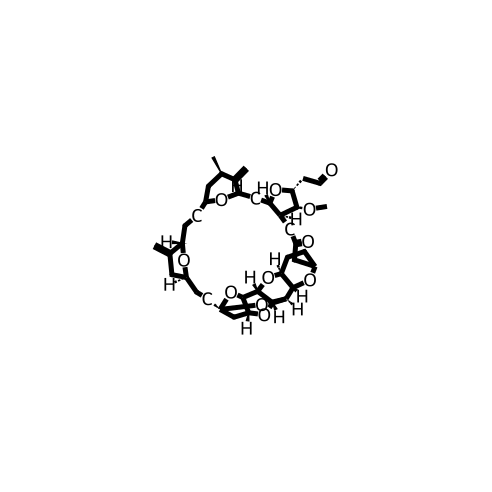 C=C1C[C@@H]2CC[C@@]34C[C@H]5O[C@H]6[C@@H](O3)[C@H]3OC(CC[C@@H]3O[C@H]6C5O4)CC(=O)C[C@@H]3[C@@H](OC)[C@@H](CC=O)O[C@H]3C[C@H]3OC(CC[C@@H]1O2)C[C@@H](C)C3=C